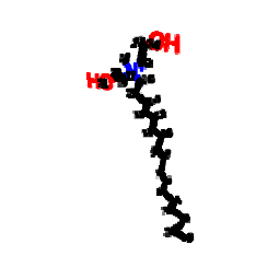 CCCCCCCCCCCCCCCCC[N+](C)(CCO)CCO